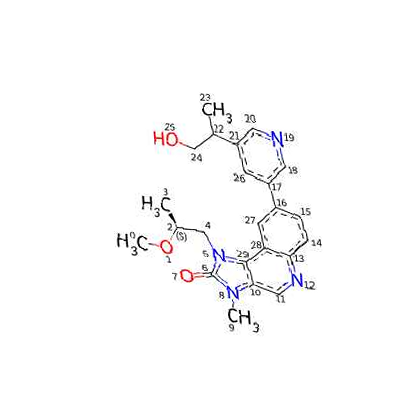 CO[C@@H](C)Cn1c(=O)n(C)c2cnc3ccc(-c4cncc(C(C)CO)c4)cc3c21